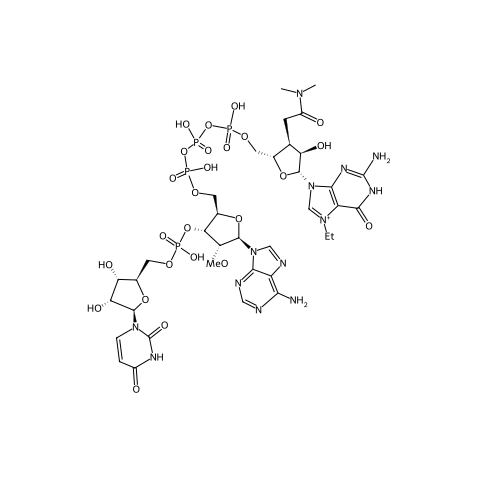 CC[n+]1cn([C@@H]2O[C@H](COP(=O)(O)OP(=O)(O)OP(=O)(O)OC[C@H]3O[C@@H](n4cnc5c(N)ncnc54)[C@H](OC)[C@@H]3OP(=O)(O)OC[C@H]3O[C@@H](n4ccc(=O)[nH]c4=O)[C@H](O)[C@@H]3O)[C@@H](CC(=O)N(C)C)[C@H]2O)c2nc(N)[nH]c(=O)c21